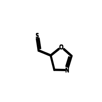 S=CC1CN=CO1